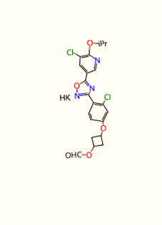 CC(C)Oc1ncc(-c2nc(-c3ccc(OC4CC(OC=O)C4)cc3Cl)no2)cc1Cl.[KH]